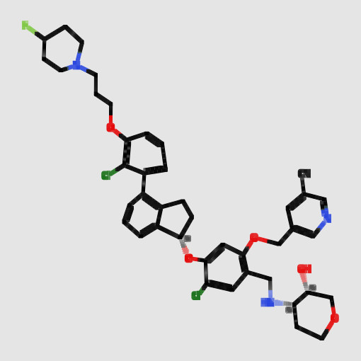 N#Cc1cncc(COc2cc(O[C@H]3CCc4c(-c5cccc(OCCCN6CCC(F)CC6)c5Cl)cccc43)c(Cl)cc2CN[C@H]2CCOC[C@H]2O)c1